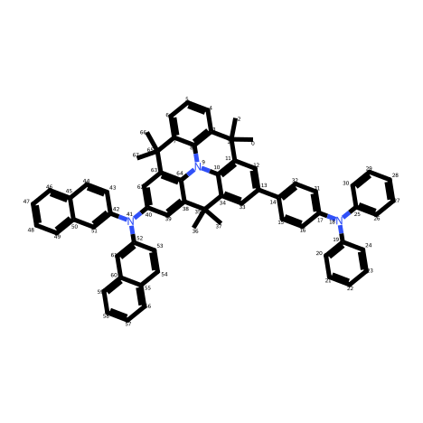 CC1(C)c2cccc3c2N2c4c1cc(-c1ccc(N(c5ccccc5)c5ccccc5)cc1)cc4C(C)(C)c1cc(N(c4ccc5ccccc5c4)c4ccc5ccccc5c4)cc(c12)C3(C)C